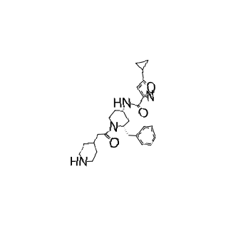 O=C(N[C@H]1CCN(C(=O)CC2CCNCC2)[C@@H](Cc2ccccc2)C1)c1cc(C2CC2)on1